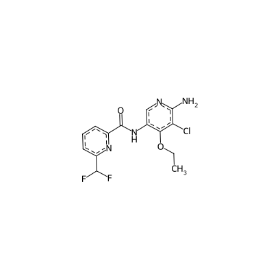 CCOc1c(NC(=O)c2cccc(C(F)F)n2)cnc(N)c1Cl